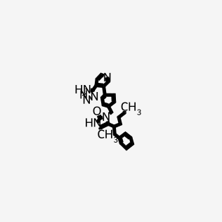 CCCCC(Cc1ccccc1)c1c(C)[nH]c(=O)n1Cc1ccc(-c2cnccc2-c2nnn[nH]2)cc1